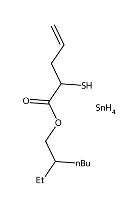 C=CCC(S)C(=O)OCC(CC)CCCC.[SnH4]